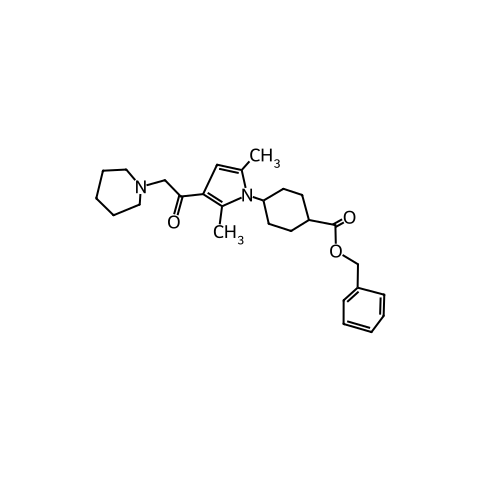 Cc1cc(C(=O)CN2CCCCC2)c(C)n1C1CCC(C(=O)OCc2ccccc2)CC1